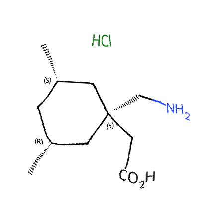 C[C@@H]1C[C@H](C)C[C@@](CN)(CC(=O)O)C1.Cl